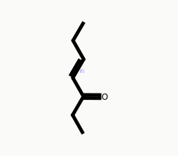 CC/C=C/C(=O)CC